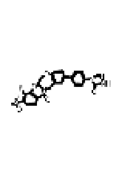 CCc1c(C(=O)N2CCOc3ccc(-c4ccc(-n5cn[nH]c5=O)cc4)cc3C2)ccc(S(C)(=O)=O)c1F